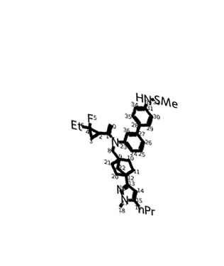 C=C(C1CC1(F)CC)N(CC12CCC(c3cc(CCC)n(C)n3)(CC1)C2)c1cccc(-c2ccc(NSC)cc2)c1